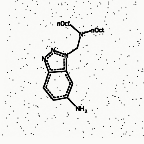 CCCCCCCCN(CCCCCCCC)Cn1nnc2ccc(N)cc21